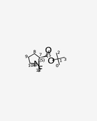 CC(C)(C)OC(=O)[C@@H]1CCCN1F